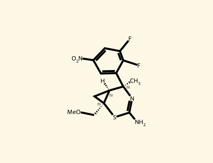 COC[C@]12C[C@H]1[C@@](C)(c1cc([N+](=O)[O-])cc(F)c1F)N=C(N)S2